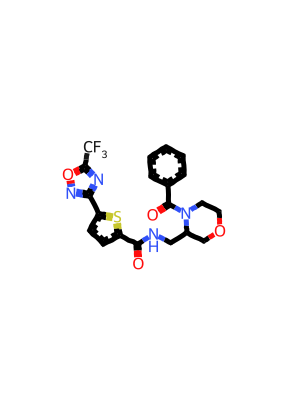 O=C(NCC1COCCN1C(=O)c1ccccc1)c1ccc(-c2noc(C(F)(F)F)n2)s1